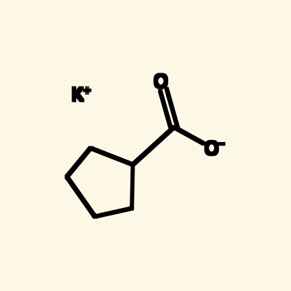 O=C([O-])C1CCCC1.[K+]